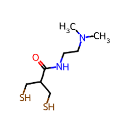 CN(C)CCNC(=O)C(CS)CS